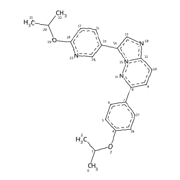 CC(C)Oc1ccc(-c2ccc3ncc(-c4ccc(OC(C)C)nc4)n3n2)cc1